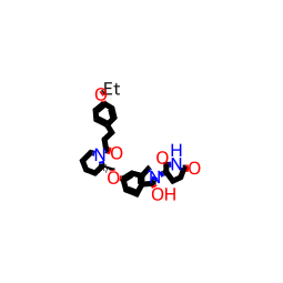 CCOc1ccc(CCC(=O)N2CCCC[C@@H]2COc2ccc3c(c2)CN(C2CCC(=O)NC2=O)C3O)cc1